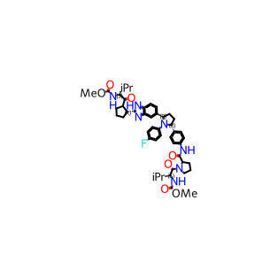 COC(=O)N[C@H](C(=O)C1CCC[C@H]1c1nc2cc([C@H]3CC[C@H](c4ccc(NC(=O)C5CCCN5C(=O)[C@@H](NC(=O)OC)C(C)C)cc4)N3c3ccc(F)cc3)ccc2[nH]1)C(C)C